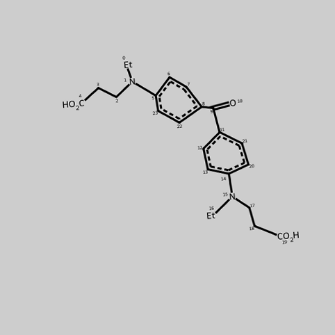 CCN(CCC(=O)O)c1ccc(C(=O)c2ccc(N(CC)CCC(=O)O)cc2)cc1